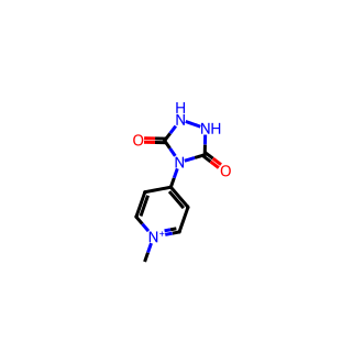 C[n+]1ccc(-n2c(=O)[nH][nH]c2=O)cc1